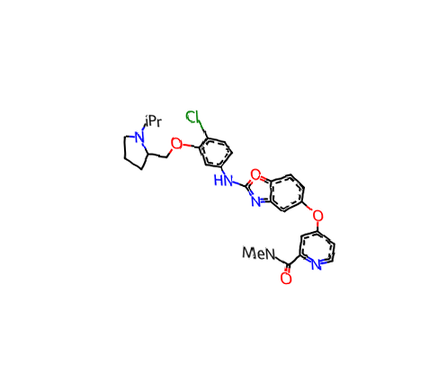 CNC(=O)c1cc(Oc2ccc3oc(Nc4ccc(Cl)c(OCC5CCCN5C(C)C)c4)nc3c2)ccn1